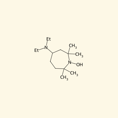 CCN(CC)C1CCC(C)(C)N(O)C(C)(C)C1